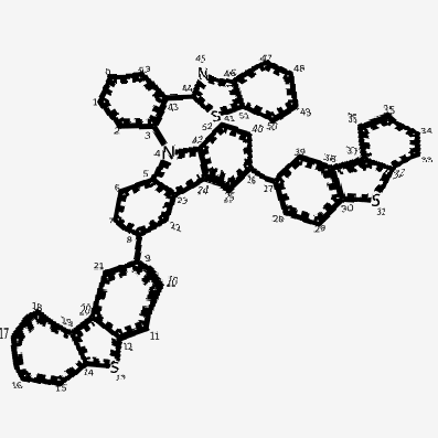 c1ccc(-n2c3ccc(-c4ccc5sc6ccccc6c5c4)cc3c3cc(-c4ccc5sc6ccccc6c5c4)ccc32)c(-c2nc3ccccc3s2)c1